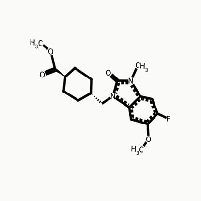 COc1cc2c(cc1F)n(C)c(=O)n2C[C@H]1CC[C@H](C(=O)OC)CC1